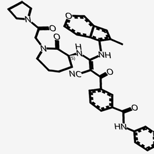 Cc1cc2coccc-2c1NC(N[C@H]1CCCCN(CC(=O)N2CCCC2)C1=O)=C(C#N)C(=O)c1cccc(C(=O)Nc2cccnc2)c1